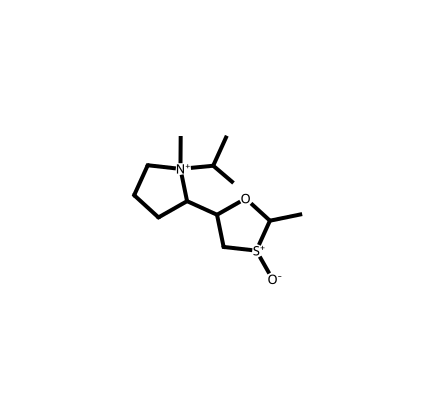 CC1OC(C2CCC[N+]2(C)C(C)C)C[S+]1[O-]